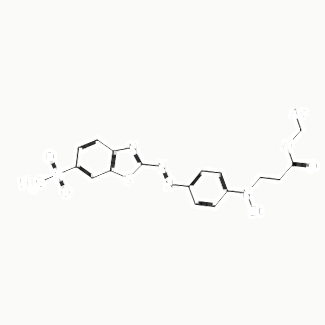 CCN(CCC(=O)OCC(C)=O)c1ccc(N=Nc2nc3ccc(S(C)(=O)=O)cc3s2)cc1